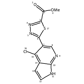 COC(=O)c1nnc(-c2cnc3[nH]ccc3c2Cl)s1